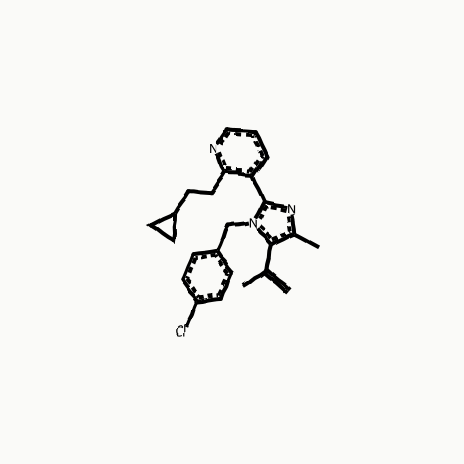 C=C(C)c1c(C)nc(-c2cccnc2CCC2CC2)n1Cc1ccc(Cl)cc1